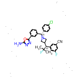 CC(C)(F)[C@H](c1cc(F)cc(C#N)c1)C1CN([C@@H](c2ccc(Cl)cc2)c2cccc(-c3nnc(N)o3)c2)C1